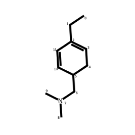 CCC1=CCC(CN(C)C)C=C1